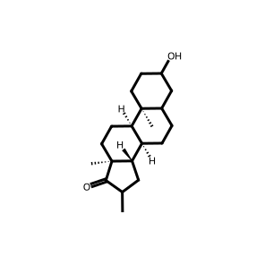 CC1C[C@H]2[C@@H]3CCC4CC(O)CC[C@]4(C)[C@@H]3CC[C@]2(C)C1=O